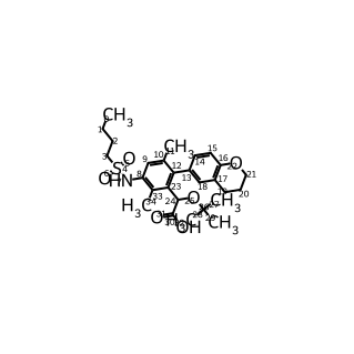 CCCCS(=O)(=O)Nc1cc(C)c(-c2ccc3c(c2)CCCO3)c(C(OC(C)(C)C)C(=O)O)c1C